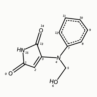 O=C1C=C(N(CO)c2ccccc2)C(=O)N1